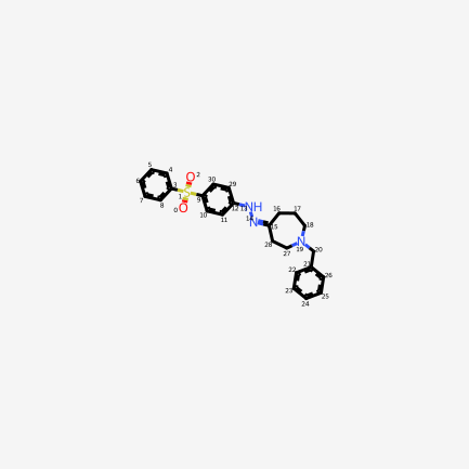 O=S(=O)(c1ccccc1)c1ccc(N/N=C2\CCCN(Cc3ccccc3)CC2)cc1